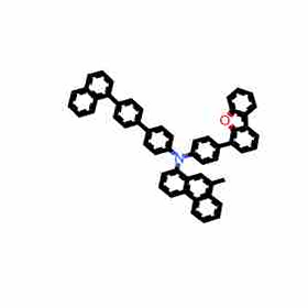 Cc1cc2c(N(c3ccc(-c4ccc(-c5cccc6ccccc56)cc4)cc3)c3ccc(-c4cccc5c4oc4ccccc45)cc3)cccc2c2ccccc12